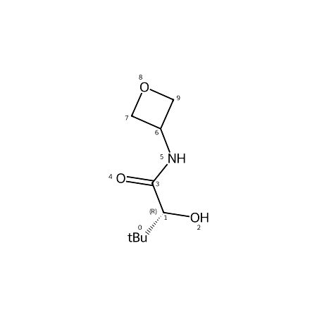 CC(C)(C)[C@@H](O)C(=O)NC1COC1